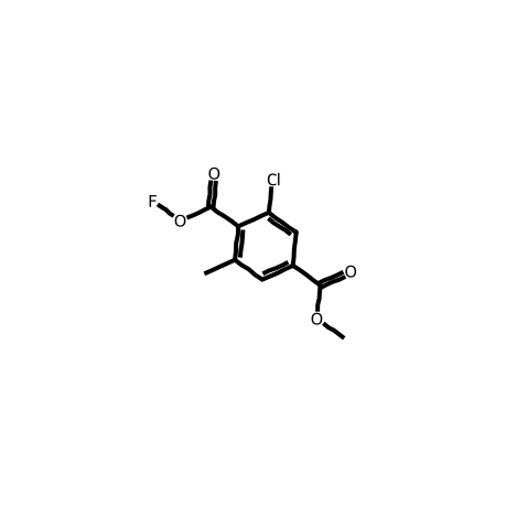 COC(=O)c1cc(C)c(C(=O)OF)c(Cl)c1